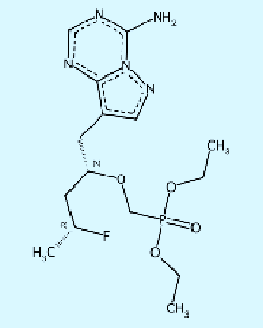 CCOP(=O)(CO[C@@H](Cc1cnn2c(N)ncnc12)C[C@@H](C)F)OCC